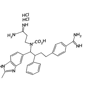 Cc1nc2cc(C(C(CCc3ccc(C(=N)N)cc3)c3ccccc3)N(CCC(=N)N)C(=O)O)ccc2[nH]1.Cl.Cl